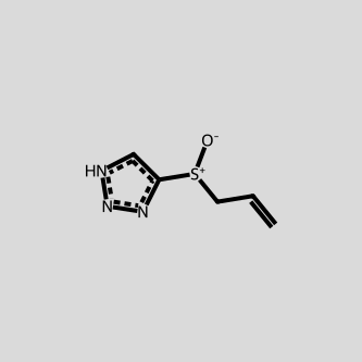 C=CC[S+]([O-])c1c[nH]nn1